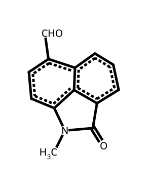 CN1C(=O)c2cccc3c(C=O)ccc1c23